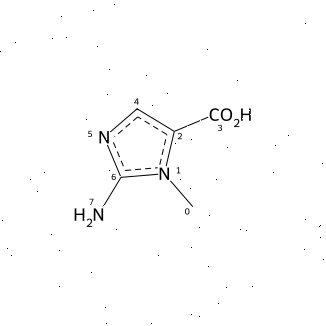 Cn1c(C(=O)O)cnc1N